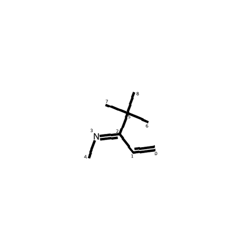 C=C/C(=N\C)C(C)(C)C